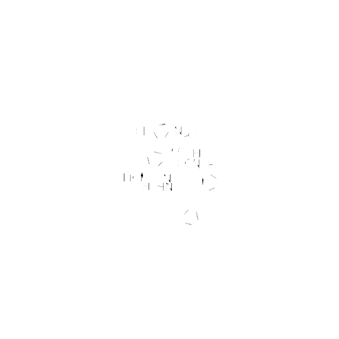 CCCN(Cc1cccc(C2OC(CC(=O)NCc3ccccc3F)C(=O)N(CC(C)(C)C)c3ccc(Cl)cc32)c1)NCCCc1ccccc1.Cl.Cl